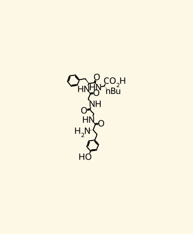 CCCC[C@H](NC(=O)[C@H](Cc1ccccc1)NC(=O)CNC(=O)CNC(=O)[C@@H](N)Cc1ccc(O)cc1)C(=O)O